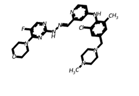 Cc1cc(CN2CCN(C)CC2)cc(Cl)c1Nc1ccnc(/C=N/Nc2ncc(F)c(N3CCOCC3)n2)c1